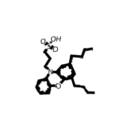 CCCCc1cc(CCCC)c2c(c1)N(CCCS(=O)(=O)O)c1ccccc1O2